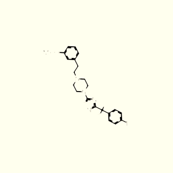 COc1cccc(CCN2CCN(c3nc(C(F)(F)c4ccc(F)cc4)no3)CC2)c1